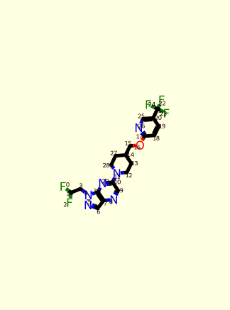 FC(F)Cn1ncc2ncc(N3CCC(COc4ccc(C(F)(F)F)cn4)CC3)nc21